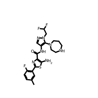 Cc1ccc(F)c(-c2nc(C(=O)Nc3cnn(CC(F)F)c3N3CCCNCC3)c(N)s2)c1